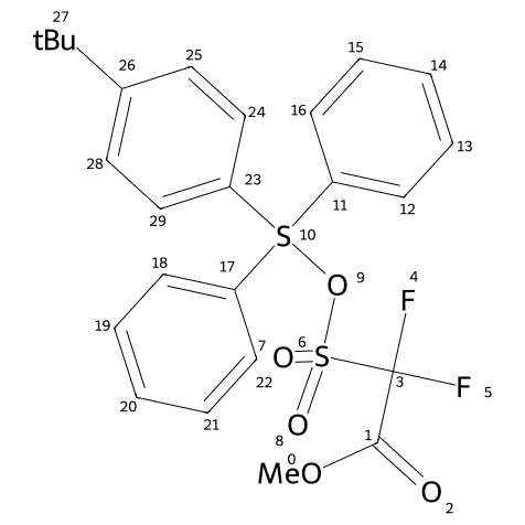 COC(=O)C(F)(F)S(=O)(=O)OS(c1ccccc1)(c1ccccc1)c1ccc(C(C)(C)C)cc1